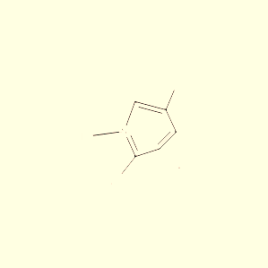 CCc1ccc(C)[n+](CC)c1.[Br-]